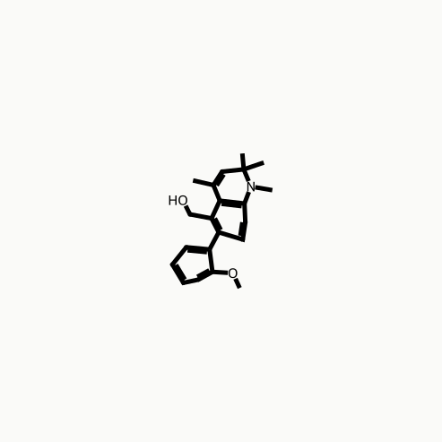 COc1ccccc1-c1ccc2c(c1CO)C(C)=CC(C)(C)N2C